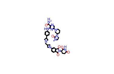 CN1CCN([C@@H]2CCCN(c3cnc(C(N)=O)c(Nc4ccc(C5CN(CC6CN(c7ccc8c(c7)C(=O)N(C7CCC(=O)NC7=O)C8=O)C6)C5)cc4)n3)C2)C1=O